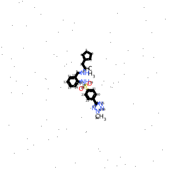 C[C@@H](CC1CCCC1)NCc1ccccc1NS(=O)(=O)c1ccc(-c2nnn(C)n2)cc1